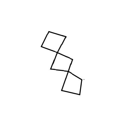 [CH]1CCC12CC1(CCC1)C2